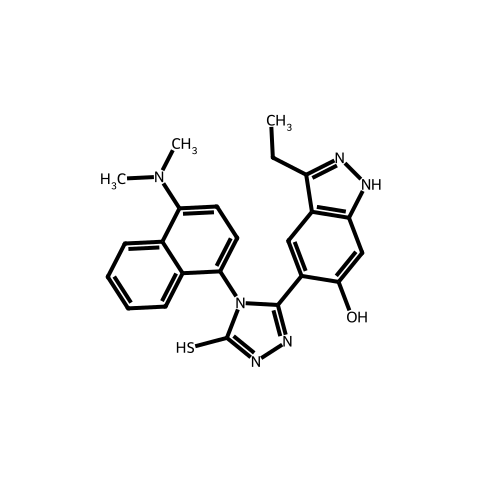 CCc1n[nH]c2cc(O)c(-c3nnc(S)n3-c3ccc(N(C)C)c4ccccc34)cc12